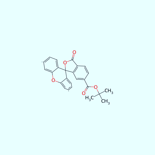 CC(C)(C)OC(=O)c1ccc2c(c1)C1(OC2=O)c2cc[c]cc2Oc2c[c]ccc21